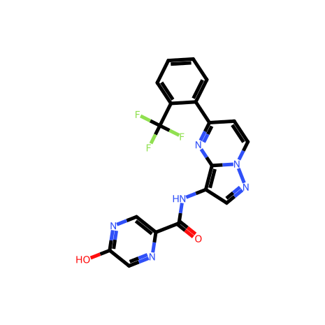 O=C(Nc1cnn2ccc(-c3ccccc3C(F)(F)F)nc12)c1cnc(O)cn1